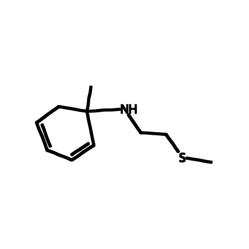 CSCCNC1(C)C=CC=CC1